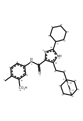 Cc1ccc(NC(=O)c2nc(C3CCCCC3)[nH]c2CCC23CCC(CC2)CC3)cc1C(=O)O